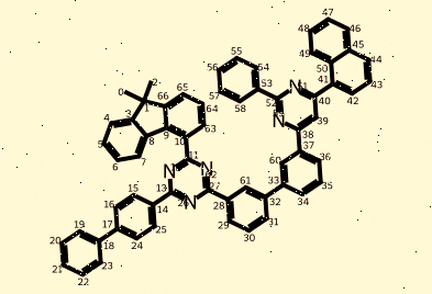 CC1(C)c2ccccc2-c2c(-c3nc(-c4ccc(-c5ccccc5)cc4)nc(-c4cccc(-c5cccc(-c6cc(-c7cccc8ccccc78)nc(-c7ccccc7)n6)c5)c4)n3)cccc21